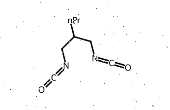 CCCC(CN=C=O)CN=C=O